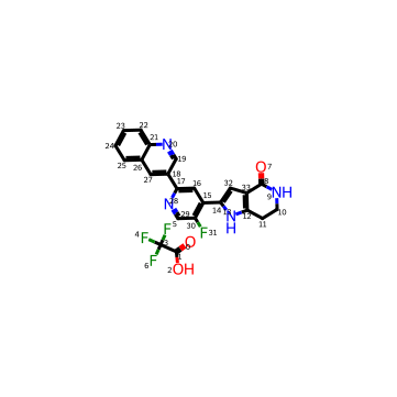 O=C(O)C(F)(F)F.O=C1NCCc2[nH]c(-c3cc(-c4cnc5ccccc5c4)ncc3F)cc21